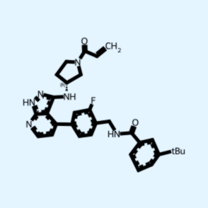 C=CC(=O)N1CC[C@@H](Nc2n[nH]c3nccc(-c4ccc(CNC(=O)c5cccc(C(C)(C)C)c5)c(F)c4)c23)C1